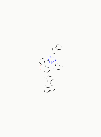 c1ccc(-c2nc(-c3ccc4ccccc4c3)nc(-c3cccc4oc5cc(-c6ccc(-c7cccc8ccccc78)cc6)ccc5c34)n2)cc1